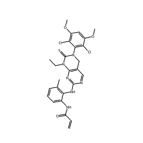 C=CC(=O)Nc1cccc(C)c1Nc1ncc2c(n1)N(CC)C(=S)N(c1c(Cl)c(OC)cc(OC)c1Cl)C2